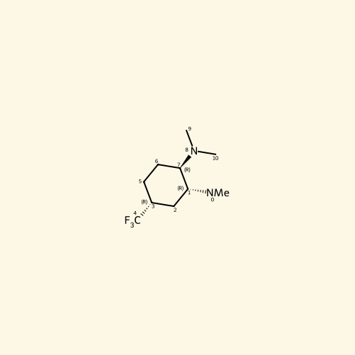 CN[C@@H]1C[C@H](C(F)(F)F)CC[C@H]1N(C)C